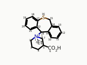 CC[N@@+]12CCCC(C(=O)O)C1[C@]21c2ccccc2CSc2ccccc21